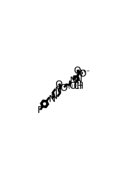 C[C@](O)(COC(=O)N1CCN(N=Cc2ccc(F)cc2)CC1)Cn1cc([N+](=O)[O-])nc1Cl